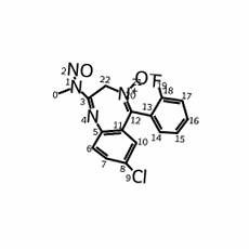 CN(N=O)C1=Nc2ccc(Cl)cc2C(c2ccccc2F)=[N+]([O-])C1